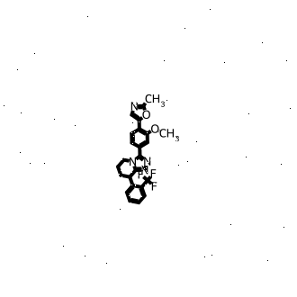 COc1cc(-c2nnc3n2CCCC3c2ccccc2C(F)(F)F)ccc1-c1cnc(C)o1